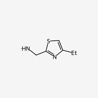 CCc1csc(C[NH])n1